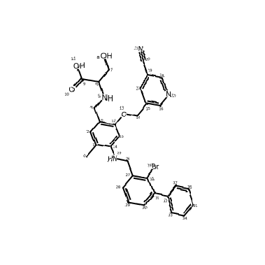 Cc1cc(CNC(CO)C(=O)O)c(OCc2cncc(C#N)c2)cc1NCc1cccc(-c2ccccc2)c1Br